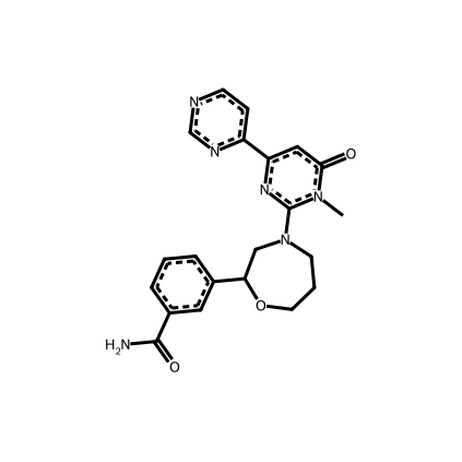 Cn1c(N2CCCOC(c3cccc(C(N)=O)c3)C2)nc(-c2ccncn2)cc1=O